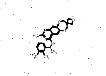 Cc1nc(N[C@H](C)c2cccc(C(F)(F)F)c2C)c2cc3c(cc2n1)OCC1(COC1)CO3